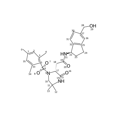 Cc1cc(C)c(S(=O)(=O)N2CC(C)(C)NC(=O)[C@H]2CC(=O)N[C@@H]2CCc3cc(CO)ccc32)c(C)c1